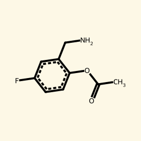 CC(=O)Oc1ccc(F)cc1CN